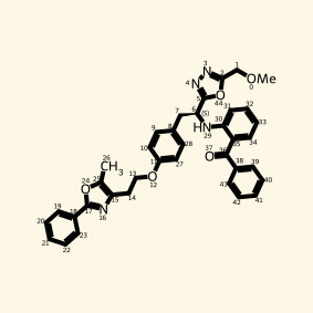 COCc1nnc([C@H](Cc2ccc(OCCc3nc(-c4ccccc4)oc3C)cc2)Nc2ccccc2C(=O)c2ccccc2)o1